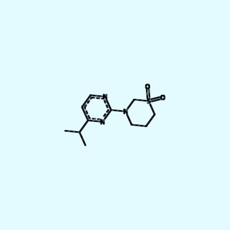 CC(C)c1ccnc(N2CCCS(=O)(=O)C2)n1